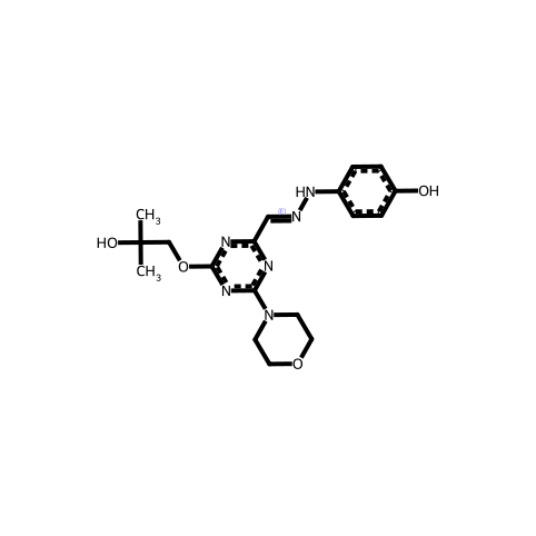 CC(C)(O)COc1nc(/C=N/Nc2ccc(O)cc2)nc(N2CCOCC2)n1